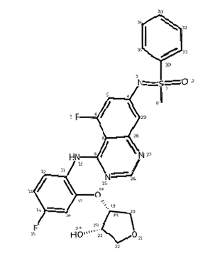 CS(=O)(=Nc1cc(F)c2c(Nc3ccc(F)cc3O[C@@H]3COC[C@@H]3O)ncnc2c1)c1ccccc1